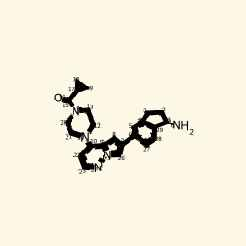 N[C@H]1CCc2cc(-c3cc4c(N5CCN(C(=O)C6CC6)CC5)ccnn4c3)ccc21